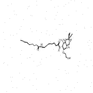 CCCCCCCC(=O)NCCCCCC(=O)N[C@H]1[C@@H](OCCO)O[C@@H]2COC(C)(C)O[C@H]2[C@@H]1O